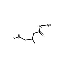 CNCC(C)CC(=O)NO